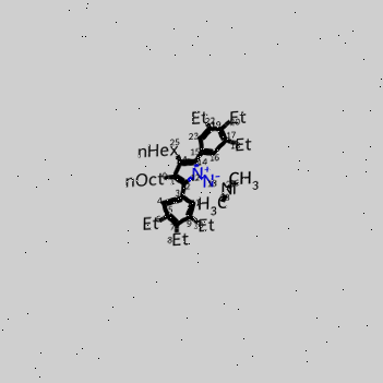 CCCCCCCCC1=C(c2cc(CC)c(CC)c(CC)c2)[N+](=[N-])C(c2cc(CC)c(CC)c(CC)c2)=C1CCCCCC.[CH3][Ni][CH3]